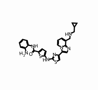 Nc1ccccc1NC(=O)c1ccc(Nc2nc(-c3cnc4c(CNCC5CC5)cccn34)cs2)s1